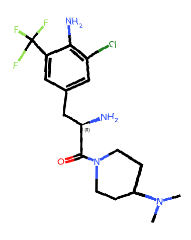 CN(C)C1CCN(C(=O)[C@H](N)Cc2cc(Cl)c(N)c(C(F)(F)F)c2)CC1